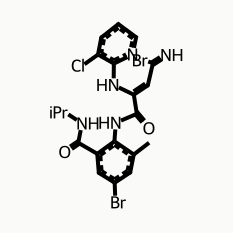 Cc1cc(Br)cc(C(=O)NC(C)C)c1NC(=O)/C(=C/C(=N)Br)Nc1ncccc1Cl